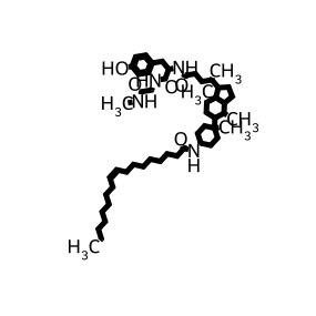 CCCCCCCC/C=C\CCCCCCCC(=O)NC1CCC(C)(C2CCC3(C)C(C(C)CCC(=O)NC(Cc4ccc(O)cc4)C(=O)NCC(=O)NC)CCC3C2C)CC1